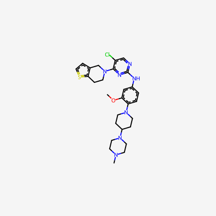 COc1cc(Nc2ncc(Cl)c(N3CCc4sccc4C3)n2)ccc1N1CCC(N2CCN(C)CC2)CC1